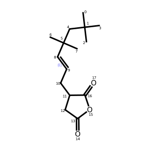 CC(C)(C)CC(C)(C)/C=C/CC1CC(=O)OC1=O